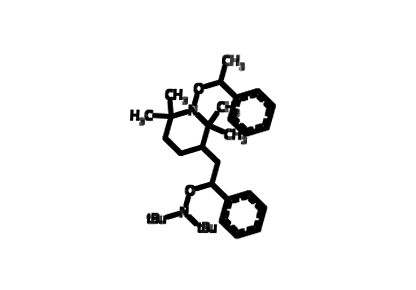 CC(ON1C(C)(C)CCC(CC(ON(C(C)(C)C)C(C)(C)C)c2ccccc2)C1(C)C)c1ccccc1